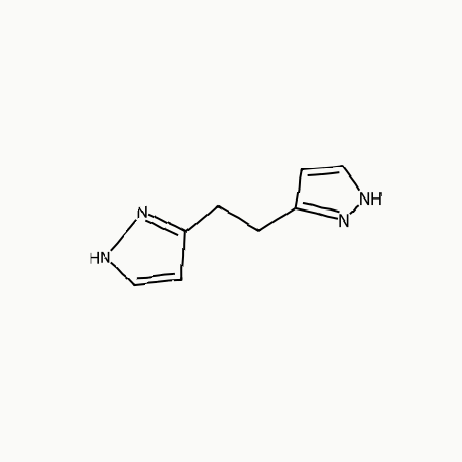 c1cc(CCc2cc[nH]n2)n[nH]1